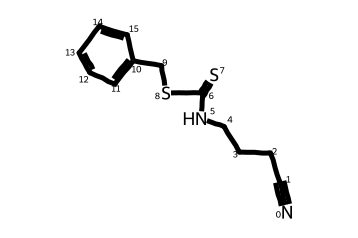 N#CCCCNC(=S)SCc1ccccc1